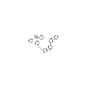 c1ccc(-c2nnc(-c3ccccc3)n2-c2ccc(CCCc3ccc4oc5ccc(-c6ccc7oc8ccccc8c7c6)cc5c4c3)cc2)cc1